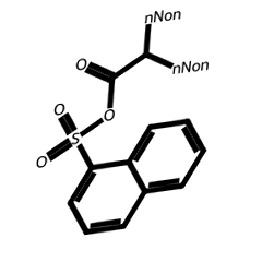 CCCCCCCCCC(CCCCCCCCC)C(=O)OS(=O)(=O)c1cccc2ccccc12